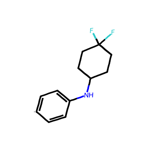 FC1(F)CCC(Nc2cc[c]cc2)CC1